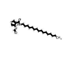 CCCCCCCCCCCCCCCCNC(=O)c1cscc1OC=O